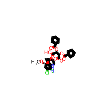 COC[C@@]12CNCC[C@]1(c1ccc(Cl)c(Cl)c1)C2.O=C(O[C@H](C(=O)O)[C@H](OC(=O)c1ccccc1)C(=O)O)c1ccccc1